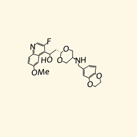 COc1ccc2ncc(F)c(C(O)C[C@H]3OC[C@H](NCc4ccc5c(c4)OCCO5)CO3)c2c1